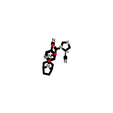 N#Cc1ccc(N2C3CCC2CC(NCC(=O)N2CSC[C@H]2C#N)C3)nc1